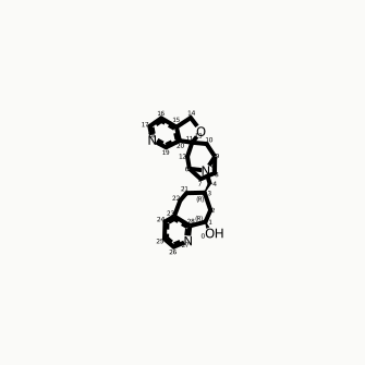 O[C@@H]1C[C@H](CN2C3CCC2CC2(C3)OCc3ccncc32)CCc2cccnc21